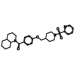 O=C(c1ccc(OCC2CCN(S(=O)(=O)c3ccccn3)CC2)cc1)N1CCCC2CCCCC21